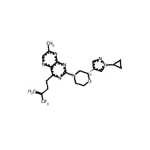 C=C(CCc1nc(N2CCO[C@@H](c3cnn(C4CC4)c3)C2)nc2nc(C)cnc12)C(F)(F)F